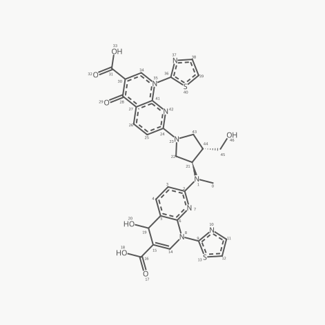 CN(c1ccc2c(n1)N(c1nccs1)C=C(C(=O)O)C2O)[C@H]1CN(c2ccc3c(=O)c(C(=O)O)cn(-c4nccs4)c3n2)C[C@@H]1CO